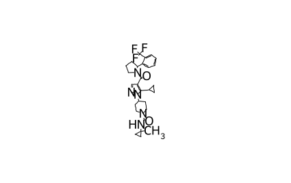 CC1(NC(=O)N2CCC(n3ncc(C(=O)N4CCCC4c4ccccc4C(F)(F)F)c3C3CC3)CC2)CC1